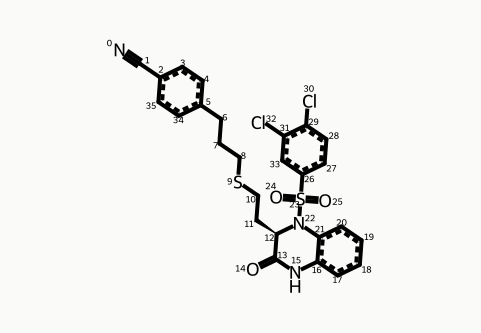 N#Cc1ccc(CCCSCC[C@@H]2C(=O)Nc3ccccc3N2S(=O)(=O)c2ccc(Cl)c(Cl)c2)cc1